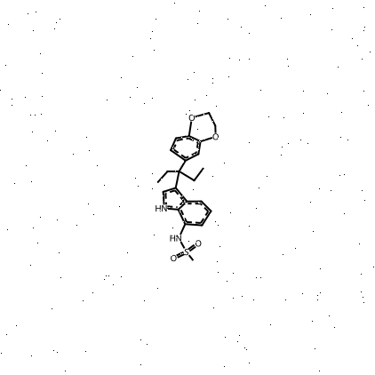 CCC(CC)(c1ccc2c(c1)OCCO2)c1c[nH]c2c(NS(C)(=O)=O)cccc12